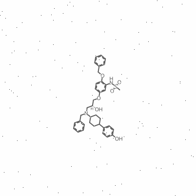 CS(=O)(=O)Nc1cc(OC[C@H](O)CN(Cc2ccccc2)C2CCC(c3ccc(O)cc3)CC2)ccc1OCc1ccccc1